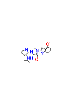 COc1cccc2[nH]c(N3CCN(c4ncccc4NC(C)C)CC3C=O)cc12